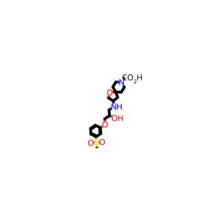 CS(=O)(=O)c1cccc(OCC(O)CNC2COC3(CCN(C(=O)O)CC3)C2)c1